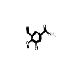 C=Cc1cc(C(N)=O)cc(Cl)c1OC